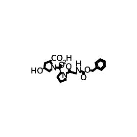 O=C(NCC(=O)N1CCC[C@H]1C(=O)N1C[C@H](O)C[C@H]1C(=O)O)OCc1ccccc1